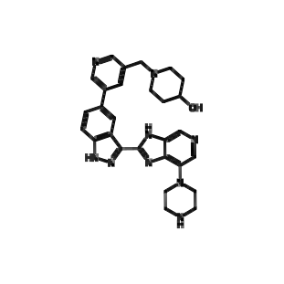 OC1CCN(Cc2cncc(-c3ccc4[nH]nc(-c5nc6c(N7CCNCC7)cncc6[nH]5)c4c3)c2)CC1